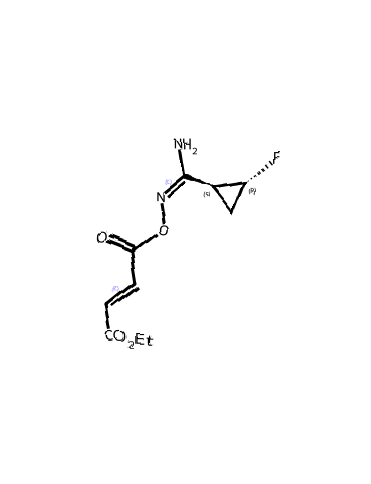 CCOC(=O)/C=C/C(=O)O/N=C(/N)[C@@H]1C[C@H]1F